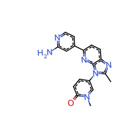 Cc1nc2ccc(-c3ccnc(N)c3)nc2n1-c1ccc(=O)n(C)c1